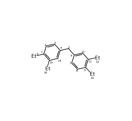 CCc1ccc(Cc2ccc(CC)c(CC)c2)cc1CC